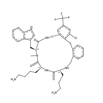 CN1C(=O)[C@H](CCCCN)NC(=O)[C@H](CCCN)NCc2ccccc2Sc2c(Cl)cc(C(F)(F)F)cc2CNC(=O)[C@@H]1Cc1c[nH]c2ccccc12